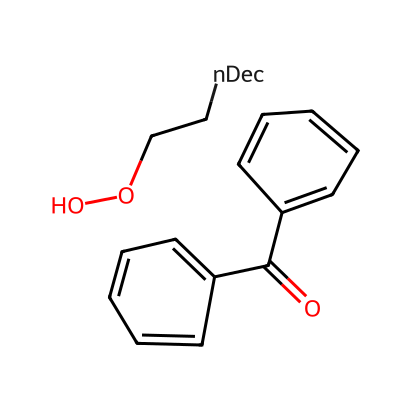 CCCCCCCCCCCCOO.O=C(c1ccccc1)c1ccccc1